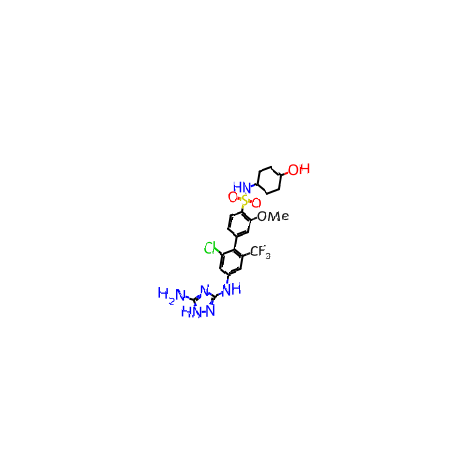 COc1cc(-c2c(Cl)cc(Nc3n[nH]c(N)n3)cc2C(F)(F)F)ccc1S(=O)(=O)NC1CCC(O)CC1